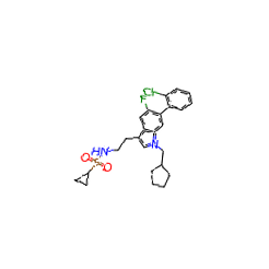 O=S(=O)(NCCc1cn(CC2CCCC2)c2cc(-c3ccccc3Cl)c(F)cc12)C1CC1